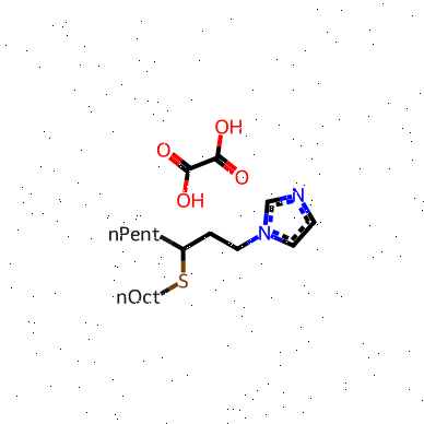 CCCCCCCCSC(CCCCC)CCn1ccnc1.O=C(O)C(=O)O